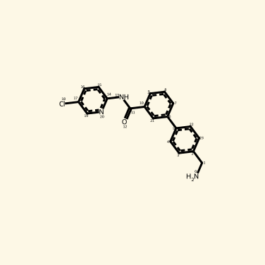 NCc1ccc(-c2cc[c]c(C(=O)Nc3ccc(Cl)cn3)c2)cc1